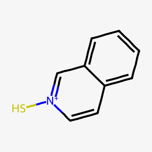 S[n+]1ccc2ccccc2c1